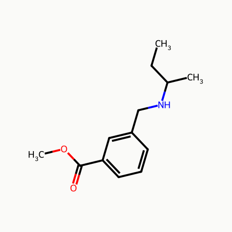 CCC(C)NCc1cccc(C(=O)OC)c1